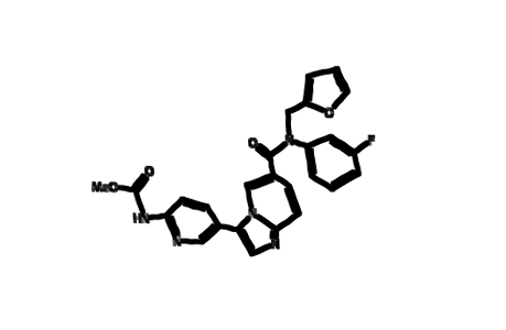 COC(=O)Nc1ccc(-c2cnc3ccc(C(=O)N(Cc4ccco4)c4cccc(F)c4)cn23)cn1